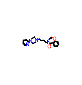 O=C1c2ccccc2OC=CN1CCCCN1CCN(c2ccccn2)CC1